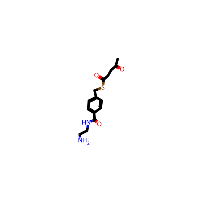 CC(=O)CCC(=O)SCc1ccc(C(=O)NCCN)cc1